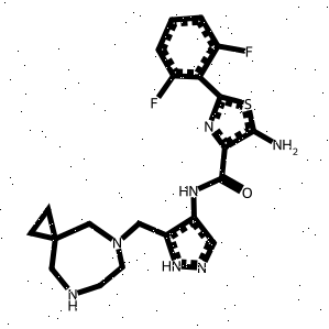 Nc1sc(-c2c(F)cccc2F)nc1C(=O)Nc1cn[nH]c1CN1CCNCC2(CC2)C1